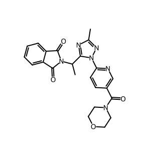 Cc1nc(C(C)N2C(=O)c3ccccc3C2=O)n(-c2ccc(C(=O)N3CCOCC3)cn2)n1